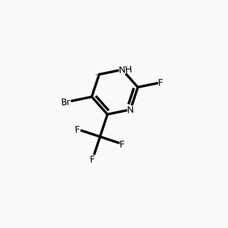 FC1=NC(C(F)(F)F)=C(Br)[CH]N1